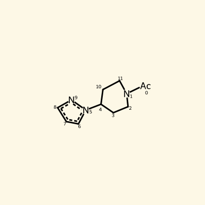 CC(=O)N1CCC(n2cccn2)CC1